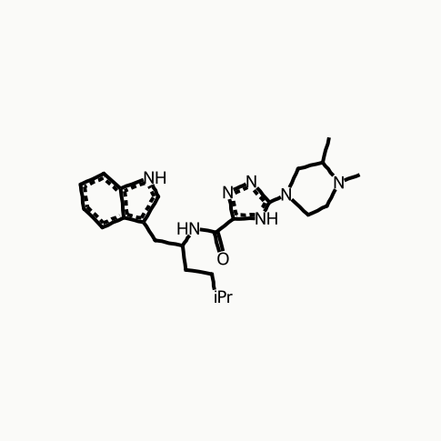 CC(C)CCC(Cc1c[nH]c2ccccc12)NC(=O)c1nnc(N2CCN(C)C(C)C2)[nH]1